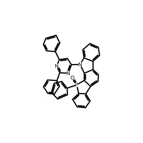 O=P1(c2ccccc2)c2ccccc2-c2ccc3c4ccccc4n(-c4cc(-c5ccccc5)nc(-c5ccccc5)n4)c3c21